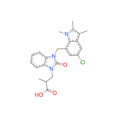 Cc1c(C)n(C)c2c(Cn3c(=O)n(CC(C)C(=O)O)c4ccccc43)cc(Cl)cc12